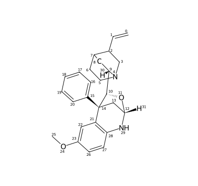 C=CC1CN2CCC1C[C@H]2[C@@H]1O[C@H]2C[C@]1(c1ccccc1)c1cc(OC)ccc1N2